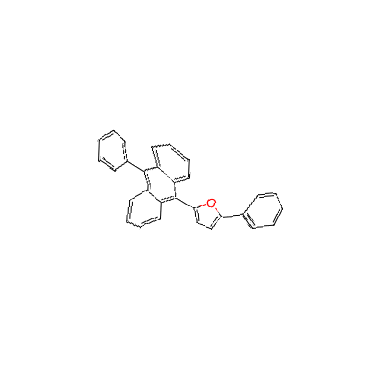 c1ccc(-c2ccc(-c3c4ccccc4c(-c4ccccc4)c4ccccc34)o2)cc1